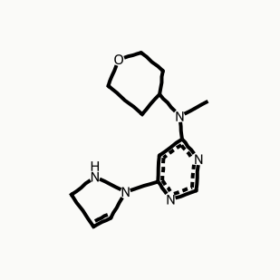 CN(c1cc(N2C=CCN2)ncn1)C1CCOCC1